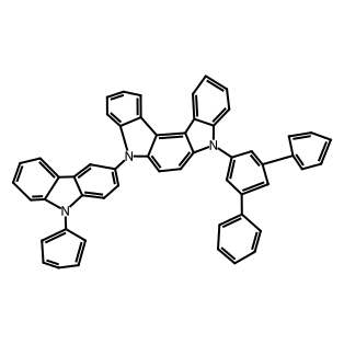 c1ccc(-c2cc(-c3ccccc3)cc(-n3c4ccccc4c4c5c6ccccc6n(-c6ccc7c(c6)c6ccccc6n7-c6ccccc6)c5ccc43)c2)cc1